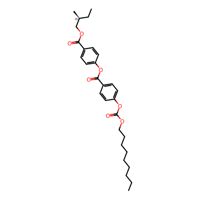 CCCCCCCCCOC(=O)Oc1ccc(C(=O)Oc2ccc(C(=O)OC[C@@H](C)CC)cc2)cc1